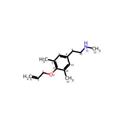 C=CCOc1c(C)cc(CCNC)cc1C